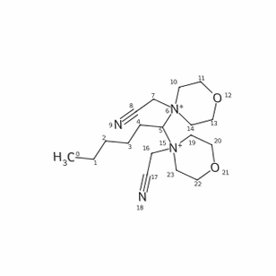 CCCCCC([N+]1(CC#N)CCOCC1)[N+]1(CC#N)CCOCC1